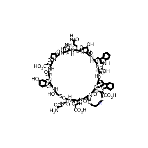 C[C@H]1C(=O)N[C@@H](CC(=O)O)C(=O)N2CCC[C@H]2C(=O)N[C@@H](CN)C(=O)N[C@@H](CCC(N)=O)C(=O)N2C[C@H](O)C[C@H]2C(=O)N[C@@H](Cc2c[nH]c3ccccc23)C(=O)N[C@@H](CO)C(=O)N[C@@H](Cc2cn(CC(=O)O)c3ccccc23)C(=O)N(C)[C@H]2CCCC/C=C\CCCC[C@@H](C(=O)N[C@@H](CCC(=O)O)C(=O)N[C@H](C(=O)NCC(N)=O)CSCC(O)N[C@@H](Cc3ccc(O)cc3)C(=O)N1C)N(C)C2=O